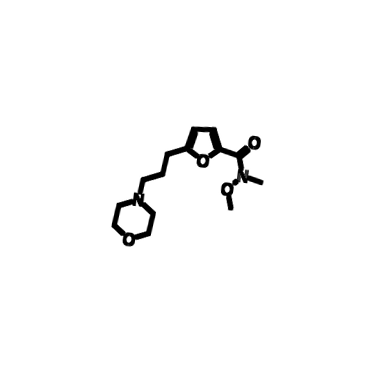 CON(C)C(=O)c1ccc(CCCN2CCOCC2)o1